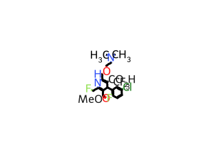 COC(=O)C1=C(CF)NC(COCCN(C)C)=C(C(=O)O)C1c1c(F)ccc(Cl)c1C(F)(F)F